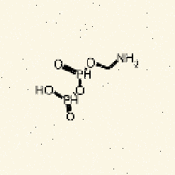 NCO[PH](=O)O[PH](=O)O